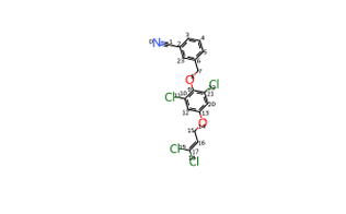 N#Cc1cccc(COc2c(Cl)cc(OCC=C(Cl)Cl)cc2Cl)c1